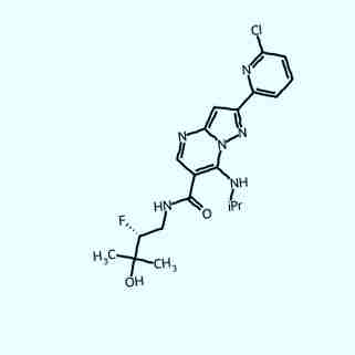 CC(C)Nc1c(C(=O)NC[C@@H](F)C(C)(C)O)cnc2cc(-c3cccc(Cl)n3)nn12